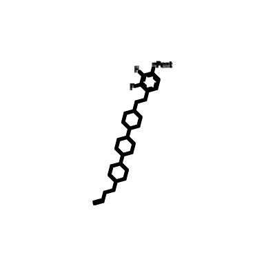 C=CCCC1CCC(C2CCC(C3CCC(CCc4ccc(CCCCC)c(F)c4F)CC3)CC2)CC1